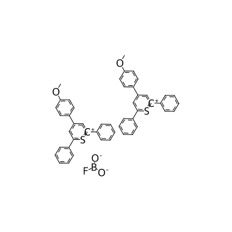 COc1ccc(-c2cc(-c3ccccc3)s[c+](-c3ccccc3)c2)cc1.COc1ccc(-c2cc(-c3ccccc3)s[c+](-c3ccccc3)c2)cc1.[O-]B([O-])F